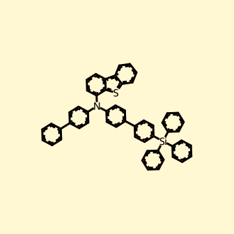 c1ccc(-c2ccc(N(c3ccc(-c4ccc([Si](c5ccccc5)(c5ccccc5)c5ccccc5)cc4)cc3)c3cccc4c3sc3ccccc34)cc2)cc1